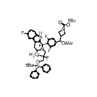 COC(c1cc(F)c([C@@H]2c3[nH]c4ccc(F)cc4c3C[C@@H](C)N2CC(F)(F)CO[Si](c2ccccc2)(c2ccccc2)C(C)(C)C)c(F)c1)C1CN(C(=O)OC(C)(C)C)C1